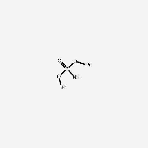 CC(C)OP([NH])(=O)OC(C)C